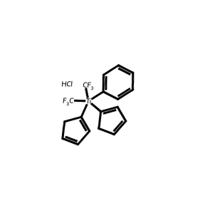 Cl.F[C](F)(F)[Ti]([C]1=CC=CC1)([C]1=CC=CC1)([c]1ccccc1)[C](F)(F)F